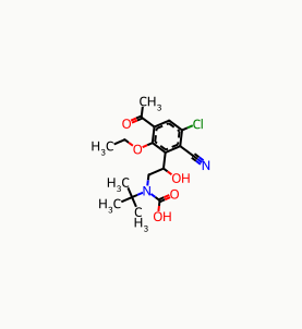 CCOc1c(C(C)=O)cc(Cl)c(C#N)c1C(O)CN(C(=O)O)C(C)(C)C